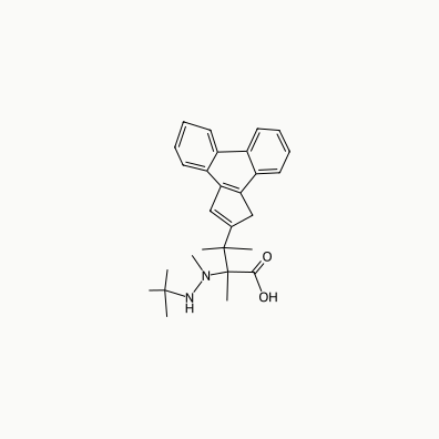 CN(NC(C)(C)C)C(C)(C(=O)O)C(C)(C)C1=Cc2c(c3ccccc3c3ccccc23)C1